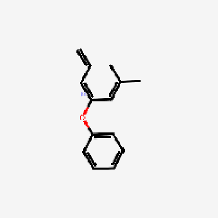 C=C/C=C(\C=C(C)C)Oc1ccccc1